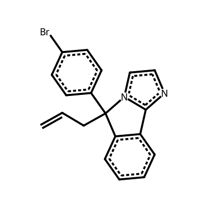 C=CCC1(c2ccc(Br)cc2)c2ccccc2-c2nccn21